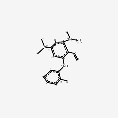 C=Cc1c(Nc2ccccc2C)nc(N(C)C)nc1N(C)N